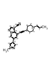 CC=CN1CCC(C#Cc2cc(-c3cnn(C)c3)cn3ncc(C#N)c23)CC1